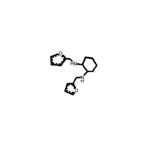 c1coc(CNC2CCCCC2NCc2ccco2)c1